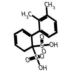 Cc1cccc(C2=CC=CCC2(S(=O)(=O)O)S(=O)(=O)O)c1C